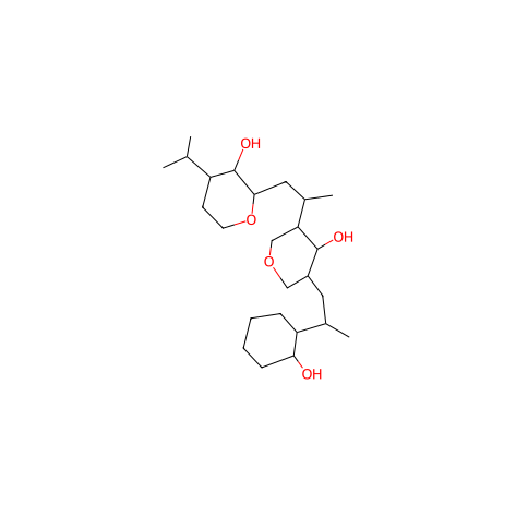 CC(C)C1CCOC(CC(C)C2COCC(CC(C)C3CCCCC3O)C2O)C1O